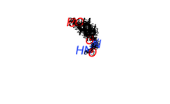 CNC(=O)c1cnn(CC(=O)[C@H]2CC[C@H]3[C@@H]4CC[C@H]5C[C@@](O)(CCOC)CC[C@]5(C)[C@H]4CC[C@]23C)c1